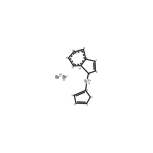 C1=CC[C]([Ti+2][CH]2C=Cc3ccccc32)=C1.[Br-].[Br-]